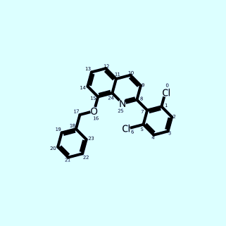 Clc1cccc(Cl)c1-c1ccc2cccc(OCc3ccccc3)c2n1